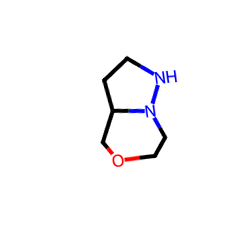 C1CC2COCCN2N1